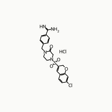 Cl.N=C(N)c1ccc(CN2CCN(S(=O)(=O)C3=Cc4ccc(Cl)cc4OC3)CC2=O)cc1